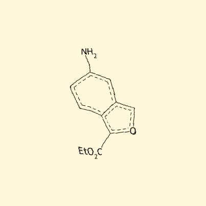 CCOC(=O)c1occ2cc(N)ccc12